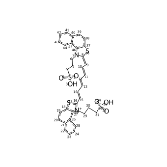 O=S(=O)(O)CCCN1C(=CC=CC=CC=Cc2sc3ccc4ccccc4c3[n+]2CCCS(=O)(=O)O)Sc2ccc3ccccc3c21